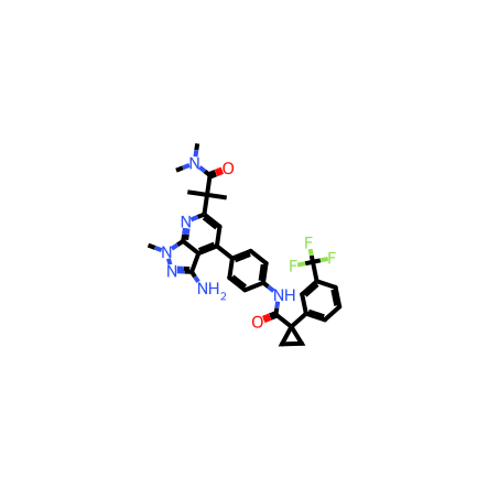 CN(C)C(=O)C(C)(C)c1cc(-c2ccc(NC(=O)C3(c4cccc(C(F)(F)F)c4)CC3)cc2)c2c(N)nn(C)c2n1